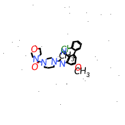 COc1cc(/N=C(\C)N2CCCN(C(=O)N3CCOCC3)CC2)c(C#N)c(-c2ccccc2Cl)c1